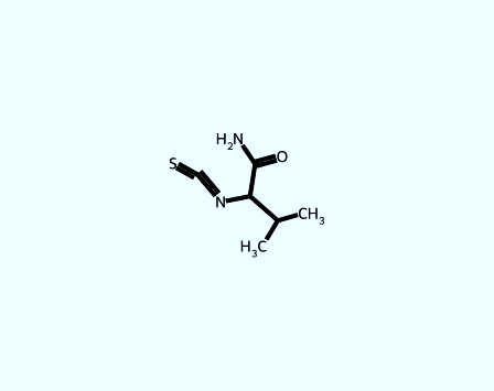 CC(C)C(N=C=S)C(N)=O